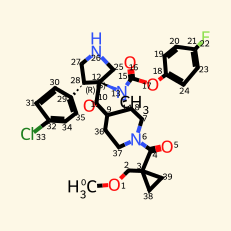 COCC1(C(=O)N2CCC(C(=O)[C@@]3(N(C)C(=O)Oc4ccc(F)cc4)CNC[C@H]3c3ccc(Cl)cc3)CC2)CC1